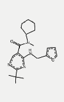 CN(C(=O)c1cnc(C(C)(C)C)nc1NCc1ccco1)C1CCCCC1